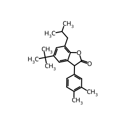 Cc1ccc(C2C(=O)Oc3c(CC(C)C)cc(C(C)(C)C)cc32)cc1C